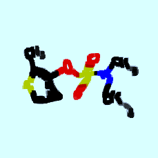 Cc1sccc1OS(=O)(=O)N(C)C